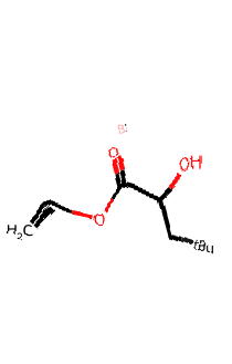 C=COC(=O)C(O)CC(C)(C)C.[B]